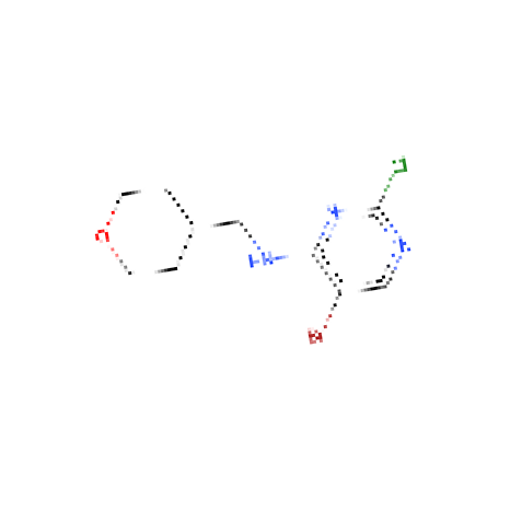 Clc1ncc(Br)c(NCC2CCOCC2)n1